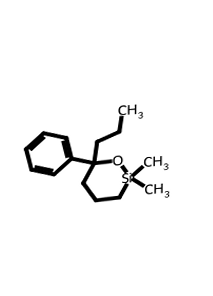 CCCC1(c2ccccc2)CCC[Si](C)(C)O1